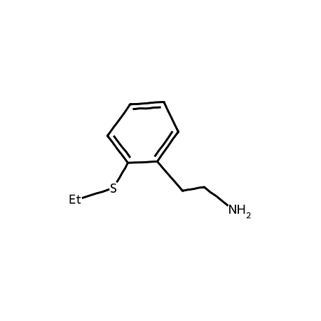 CCSc1ccccc1CCN